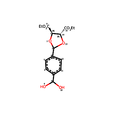 CCOC(=O)[C@@H]1OC(c2ccc(C(O)O)cc2)O[C@H]1C(=O)OCC